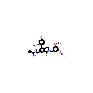 COc1cc(CN2CCc3c(cc(CNC(=N)C4CC4)cc3-c3ccc(F)cc3C)C2=O)cc(OC)c1